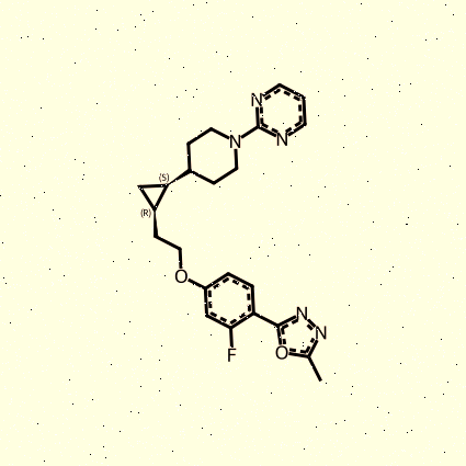 Cc1nnc(-c2ccc(OCC[C@H]3C[C@H]3C3CCN(c4ncccn4)CC3)cc2F)o1